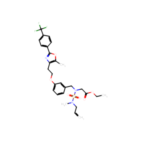 C=CCN(C)S(=O)(=O)N(CC(=O)OCC)Cc1cccc(OCCc2nc(-c3ccc(C(F)(F)F)cc3)oc2C)c1